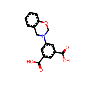 O=C(O)c1cc(C(=O)O)cc(N2COc3ccccc3C2)c1